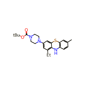 CCc1cc(N2CCN(C(=O)OC(C)(C)C)CC2)cc2c1Nc1ccc(C)cc1S2